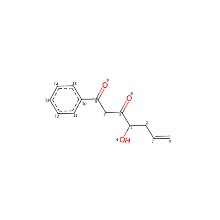 C=CCC(O)C(=O)CC(=O)c1ccccc1